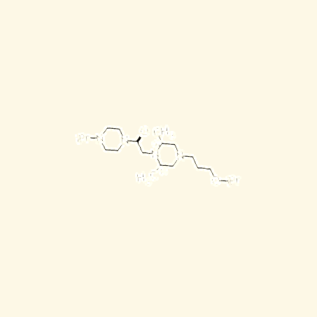 CC(C)OCCCN1C[C@@H](C)N(CC(=O)N2CCN(C(C)C)CC2)[C@@H](C)C1